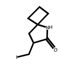 O=C1NC2(CCC2)CC1CI